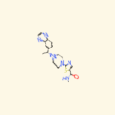 CNC(=O)c1cnc(N2CCN(C(C)c3ccc4nccnc4c3)CC2)s1